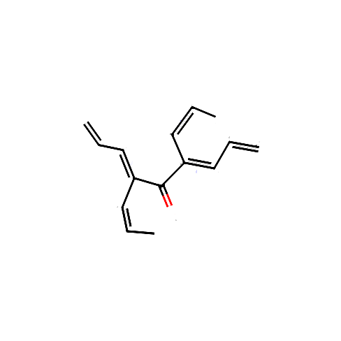 C=C/C=C(\C=C/C)C(=O)C(/C=C\C)=C/C=C